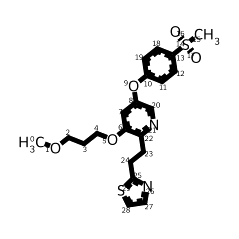 COCCCOc1cc(Oc2ccc(S(C)(=O)=O)cc2)cnc1CCc1nccs1